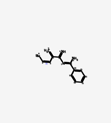 C=C(/C=C\C(C)CC)C(=N)N=C(N)c1ccccc1